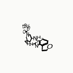 CC(C)(C)OC(=O)N1C[C@@H](N)[C@H](Nc2nc3c4c(ccc3s2)OCC4)C2(CC2)C1